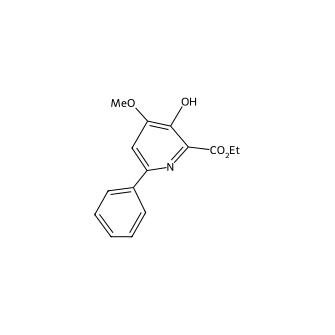 CCOC(=O)c1nc(-c2ccccc2)cc(OC)c1O